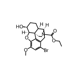 CCOC(=O)N1CC[C@]23c4c5c(Br)cc(OC)c4O[C@H]2[C@@H](O)CC[C@H]3[C@H]1C5